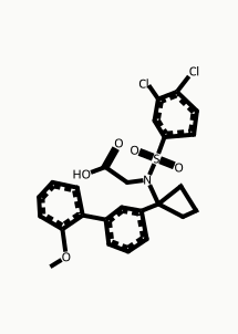 COc1ccccc1-c1cccc(C2(N(CC(=O)O)S(=O)(=O)c3ccc(Cl)c(Cl)c3)CCC2)c1